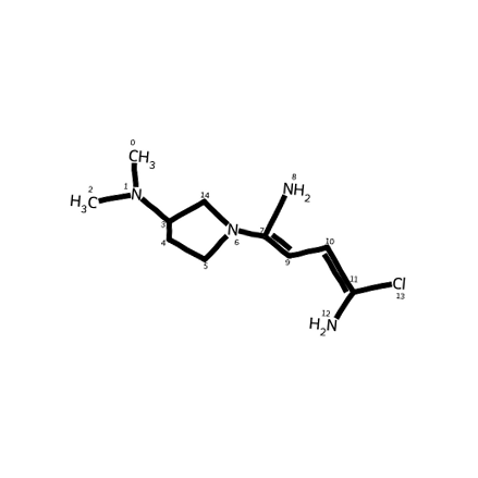 CN(C)C1CCN(/C(N)=C/C=C(\N)Cl)C1